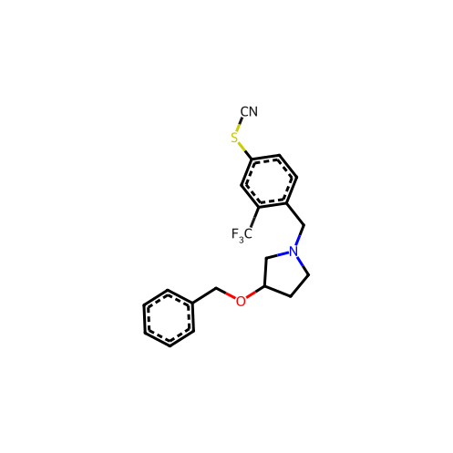 N#CSc1ccc(CN2CCC(OCc3ccccc3)C2)c(C(F)(F)F)c1